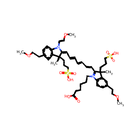 COCCc1ccc2c(c1)C(C)(CCCS(=O)(=O)O)C(/C=C/C=C/C=C/C=C1/N(CCOC)c3ccc(CCOC)cc3C1(C)CCCS(=O)(=O)O)=[N+]2CCCCCC(=O)O